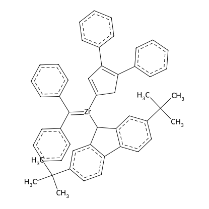 CC(C)(C)c1ccc2c(c1)[CH]([Zr]([C]1=CC(c3ccccc3)=C(c3ccccc3)C1)=[C](c1ccccc1)c1ccccc1)c1cc(C(C)(C)C)ccc1-2